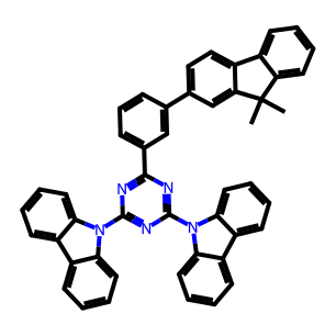 CC1(C)c2ccccc2-c2ccc(-c3cccc(-c4nc(-n5c6ccccc6c6ccccc65)nc(-n5c6ccccc6c6ccccc65)n4)c3)cc21